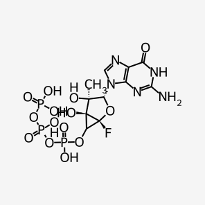 C[C@]1(O)[C@H](n2cnc3c(=O)[nH]c(N)nc32)O[C@]2(F)C(OP(=O)(O)OP(=O)(O)OP(=O)(O)O)[C@]12O